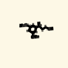 COc1cc(NCCO)cc(OC)c1